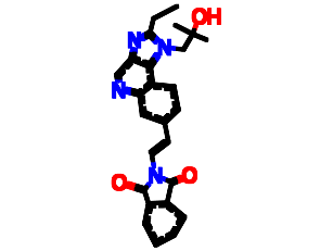 CCc1nc2cnc3cc(C=CN4C(=O)c5ccccc5C4=O)ccc3c2n1CC(C)(C)O